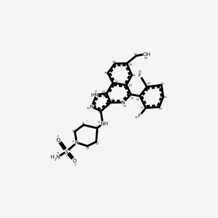 NS(=O)(=O)N1CCC(Nc2n[nH]c3c2nc(-c2c(F)cccc2F)c2cc(CO)ccc23)CC1